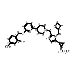 CCOC(=O)C1CC1c1cnc(CN2CCC(c3cccc(OCc4ccc(Cl)cc4F)n3)CC2)n1CC1CCO1